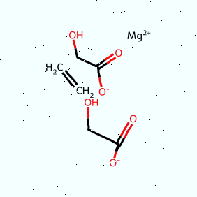 C=C.O=C([O-])CO.O=C([O-])CO.[Mg+2]